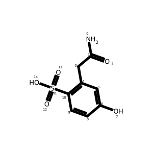 NC(=O)Cc1cc(O)ccc1S(=O)(=O)O